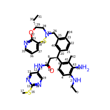 CCNc1ccc([C@@H](CC(=O)Nc2cnc(SC)nc2)c2ccc(C)c(CN3C[C@@H](CC)Oc4ncccc4S3)c2)c(C)c1N